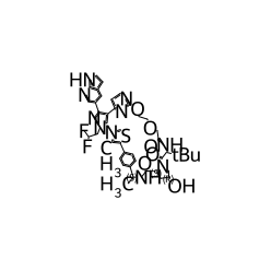 Cc1ncsc1-c1ccc([C@H](C)NC(=O)[C@@H]2C[C@@H](O)CN2C(=O)C(NC(=O)COCCOc2nccc(-c3cn(CC(F)F)nc3-c3cnc4[nH]ccc4c3)n2)C(C)(C)C)cc1